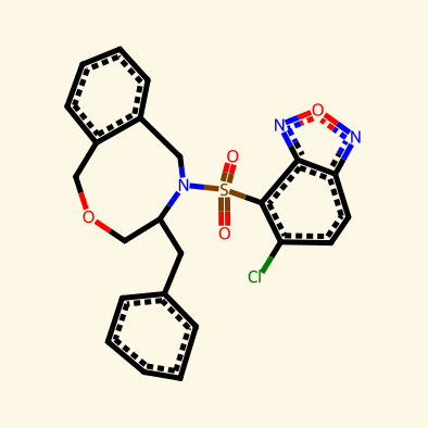 O=S(=O)(c1c(Cl)ccc2nonc12)N1Cc2ccccc2COCC1Cc1ccccc1